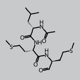 CSCC[C@@H](C=O)NC(=O)[C@H](CCSC)NC(=O)[C@H](CC(C)C)NC(C)=O